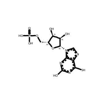 O=P(O)(O)OC[C@H]1O[C@@H](n2cnc3c(S)nc(O)nc32)[C@H](O)[C@@H]1O